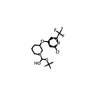 CC(C)(C)OC(O)N1CCCC(Oc2cc(Cl)nc(C(F)(F)F)c2)C1